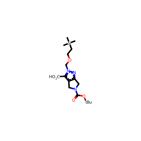 CC(C)(C)OC(=O)N1Cc2nn(COCC[Si](C)(C)C)c(C(=O)O)c2C1